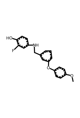 COc1ccc(Oc2cccc(CNc3ccc(O)c(F)c3)c2)cc1